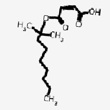 CCCCCCCC(C)(C)OC(=O)/C=C\C(=O)O